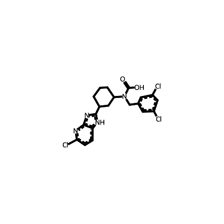 O=C(O)N(Cc1cc(Cl)cc(Cl)c1)C1CCCC(c2nc3nc(Cl)ccc3[nH]2)C1